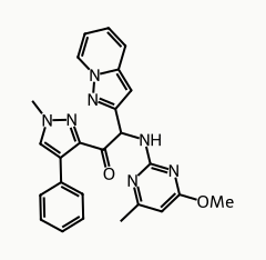 COc1cc(C)nc(NC(C(=O)c2nn(C)cc2-c2ccccc2)c2cc3ccccn3n2)n1